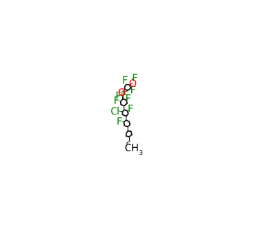 CCCc1ccc(-c2ccc(-c3cc(F)c(-c4cc(F)c(C(F)(F)Oc5cc(F)c(OCF)c(F)c5)c(F)c4)c(Cl)c3)c(F)c2)cc1